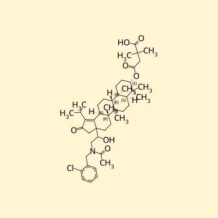 CC(=O)N(Cc1ccccc1Cl)CC(O)C12CC[C@]3(C)[C@H](CC[C@@H]4[C@@]5(C)CC[C@H](OC(=O)CC(C)(C)C(=O)O)C(C)(C)[C@H]5CC[C@]43C)C1=C(C(C)C)C(=O)C2